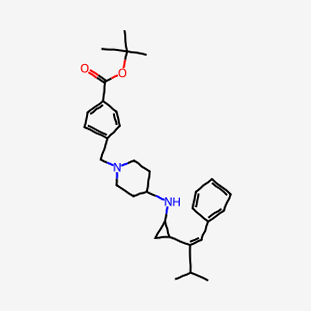 CC(C)C(=Cc1ccccc1)C1CC1NC1CCN(Cc2ccc(C(=O)OC(C)(C)C)cc2)CC1